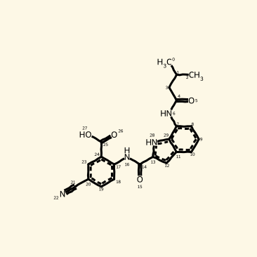 CC(C)CC(=O)Nc1cccc2cc(C(=O)Nc3ccc(C#N)cc3C(=O)O)[nH]c12